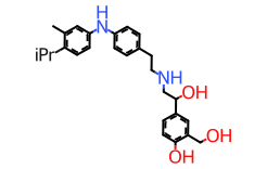 Cc1cc(Nc2ccc(CCNCC(O)c3ccc(O)c(CO)c3)cc2)ccc1C(C)C